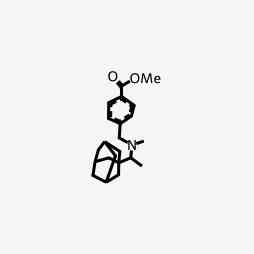 COC(=O)c1ccc(CN(C)C(C)C23CC4CC(CC(C4)C2)C3)cc1